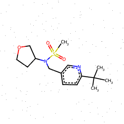 CC(C)(C)c1ccc(CN(C2CCOC2)S(C)(=O)=O)cn1